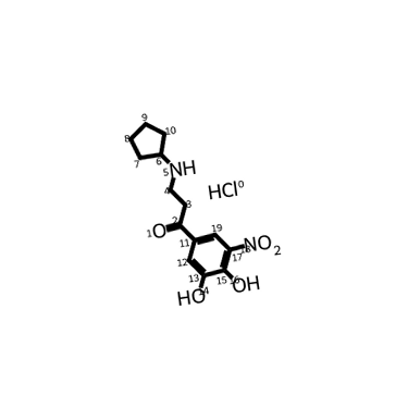 Cl.O=C(CCNC1CCCC1)c1cc(O)c(O)c([N+](=O)[O-])c1